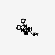 CC(C)CCC(=O)NC1N=C(c2ccccc2)c2ccccc2N(C)C1=O